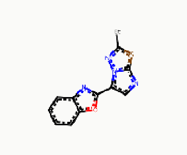 CCc1nn2c(-c3nc4ccccc4o3)cnc2s1